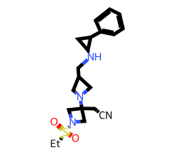 CCS(=O)(=O)N1CC(CC#N)(N2CC(CN[C@H]3CC3c3ccccc3)C2)C1